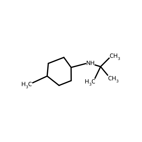 CC1CCC(NC(C)(C)C)CC1